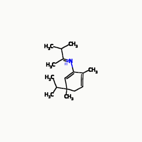 CC1=CCC(C)(C(C)C)C=C1/N=C(\C)C(C)C